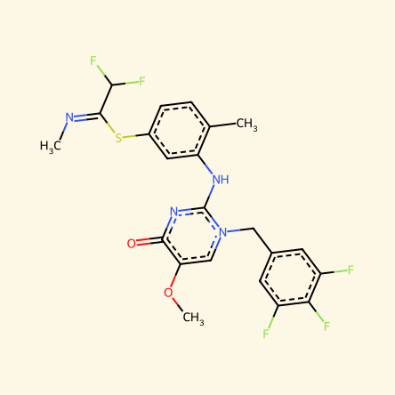 C/N=C(\Sc1ccc(C)c(Nc2nc(=O)c(OC)cn2Cc2cc(F)c(F)c(F)c2)c1)C(F)F